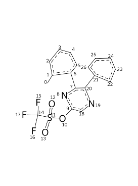 Cc1ccccc1-c1nc(OS(=O)(=O)C(F)(F)F)cnc1-c1ccccc1